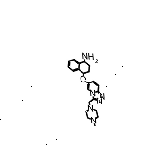 CN1CCN(Cc2nnc3ccc(O[C@@H]4CC[C@H](N)c5ccccc54)cn23)CC1